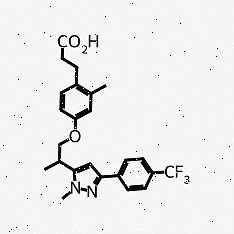 Cc1cc(OCC(C)c2cc(-c3ccc(C(F)(F)F)cc3)nn2C)ccc1CCC(=O)O